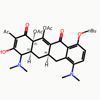 CCCCOc1ccc(N(C)C)c2c1C(=O)C1=C(OC(C)=O)[C@]3(OC(C)=O)C(=O)C(C(C)=O)=C(O)C(N(C)C)[C@@H]3C[C@@H]1C2